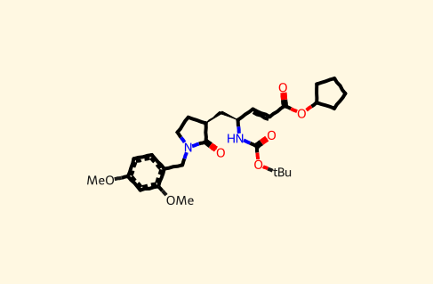 COc1ccc(CN2CC[C@@H](C[C@@H](/C=C/C(=O)OC3CCCC3)NC(=O)OC(C)(C)C)C2=O)c(OC)c1